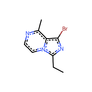 CCc1nc(Br)c2c(C)nccn12